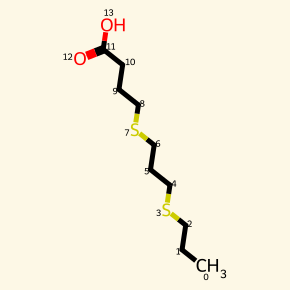 CCCSCCCSCCCC(=O)O